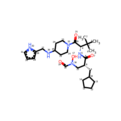 CC(C)(C)[C@H](NC(=O)[C@H](CC1CCCC1)CN(O)C=O)C(=O)N1CCC(NCc2ccc[nH]2)CC1